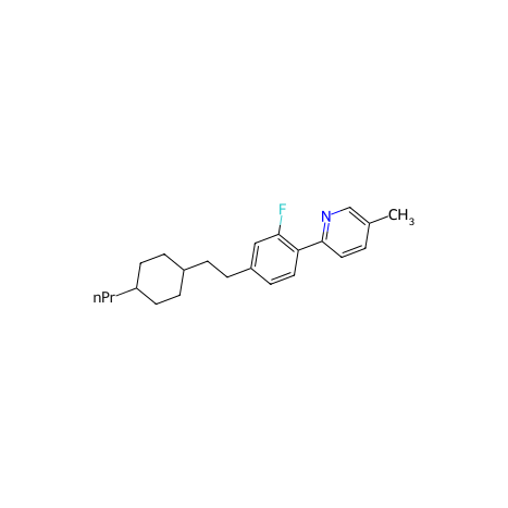 CCCC1CCC(CCc2ccc(-c3ccc(C)cn3)c(F)c2)CC1